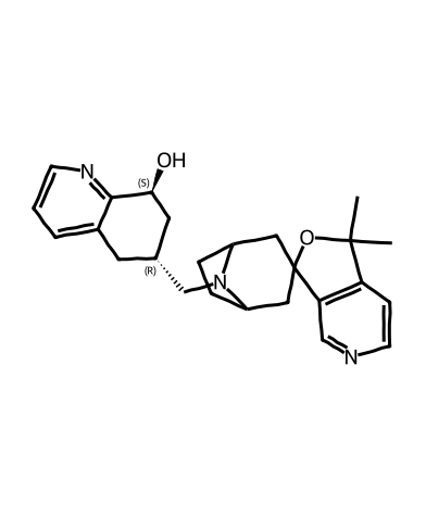 CC1(C)OC2(CC3CCC(C2)N3C[C@@H]2Cc3cccnc3[C@@H](O)C2)c2cnccc21